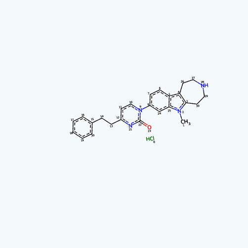 Cl.Cn1c2c(c3ccc(-n4ccc(CCc5ccccc5)nc4=O)cc31)CCNCC2